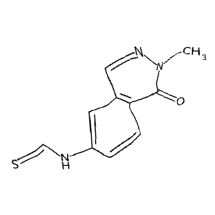 Cn1ncc2cc(NC=S)ccc2c1=O